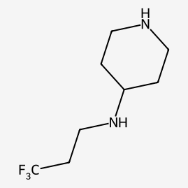 FC(F)(F)CCNC1CCNCC1